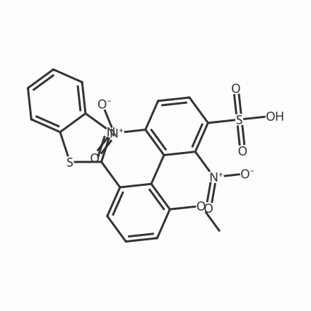 COc1cccc(-c2nc3ccccc3s2)c1-c1c([N+](=O)[O-])ccc(S(=O)(=O)O)c1[N+](=O)[O-]